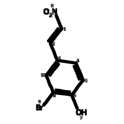 O=[N+]([O-])C=Cc1ccc(O)c(Br)c1